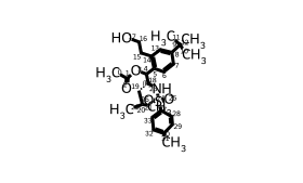 CC(=O)OC(c1ccc(C(C)(C)C)cc1CCO)[C@@H](CC(C)C)NS(=O)(=O)c1ccc(C)cc1